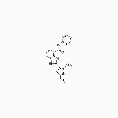 Cc1nc(C)c(-c2nc3c(C(=O)Nc4ccccn4)cccc3[nH]2)s1